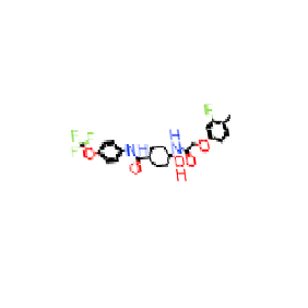 Cc1ccc(OCC(=O)NC2(O)CCC(C(=O)Nc3ccc(OC(F)(F)F)cc3)CC2)cc1F